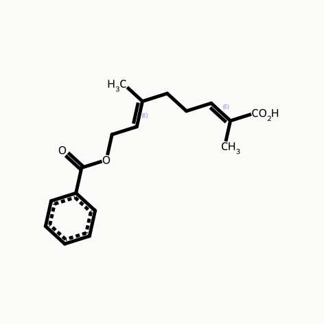 C/C(=C\COC(=O)c1ccccc1)CC/C=C(\C)C(=O)O